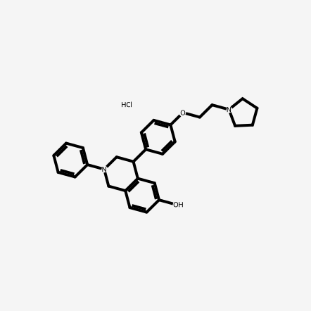 Cl.Oc1ccc2c(c1)C(c1ccc(OCCN3CCCC3)cc1)CN(c1ccccc1)C2